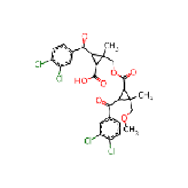 COCC1(C)C(C(=O)OCC2(C)C(C(=O)O)C2C(=O)c2ccc(Cl)c(Cl)c2)C1C(=O)c1ccc(Cl)c(Cl)c1